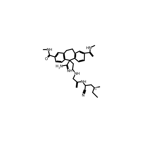 C=C(CNCCC1(C(=N)N)c2ccc(C(=C)NC)cc2CCc2cc(C(=O)NC)ccc21)NC(C#N)C[C@@H](C)CC